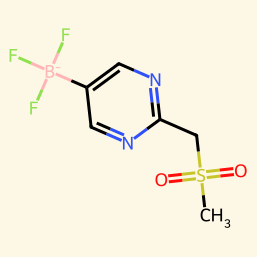 CS(=O)(=O)Cc1ncc([B-](F)(F)F)cn1